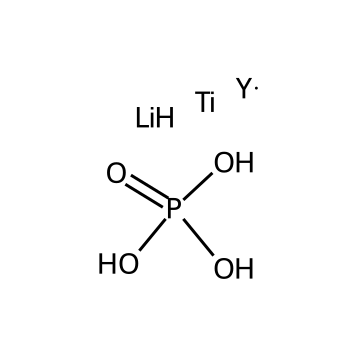 O=P(O)(O)O.[LiH].[Ti].[Y]